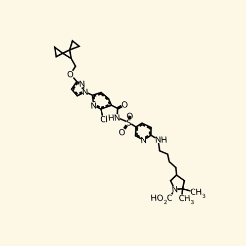 CC1(C)CC(CCCCNc2ccc(S(=O)(=O)NC(=O)c3ccc(-n4ccc(OCC5C6(CC6)C56CC6)n4)nc3Cl)cn2)CN1C(=O)O